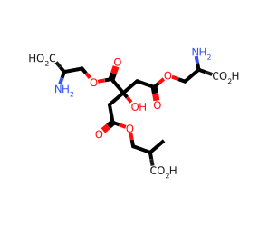 CC(COC(=O)CC(O)(CC(=O)OCC(N)C(=O)O)C(=O)OCC(N)C(=O)O)C(=O)O